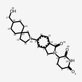 O=C1CCC(N2Cc3cc(N4CCC5(CCC(CO)CC5)C4)ccc3C2=O)C(=O)N1